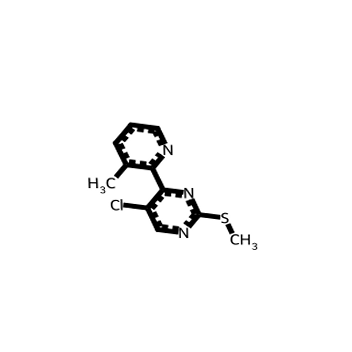 CSc1ncc(Cl)c(-c2ncccc2C)n1